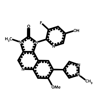 COc1cc2ncc3c(c2cc1-c1cnn(C)c1)n(-c1ncc(O)cc1F)c(=O)n3C